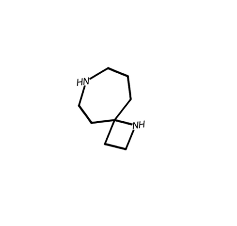 C1CNCCC2(C1)CCN2